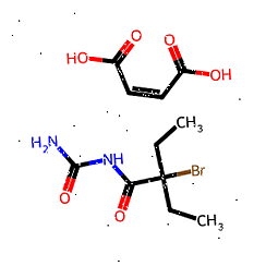 CCC(Br)(CC)C(=O)NC(N)=O.O=C(O)/C=C\C(=O)O